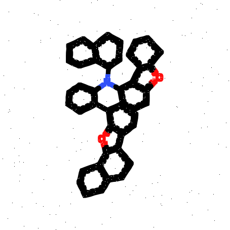 c1ccc(N(c2cccc3ccccc23)c2cccc3oc4ccccc4c23)c(-c2cccc3c2oc2c4ccccc4ccc32)c1